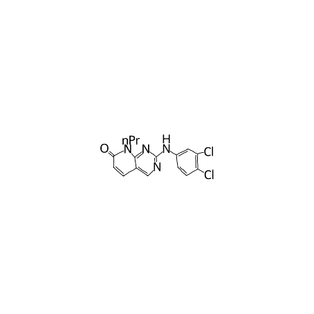 CCCn1c(=O)ccc2cnc(Nc3ccc(Cl)c(Cl)c3)nc21